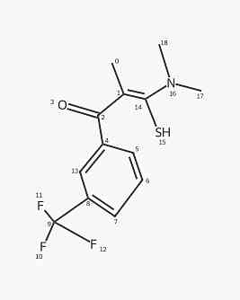 CC(C(=O)c1cccc(C(F)(F)F)c1)=C(S)N(C)C